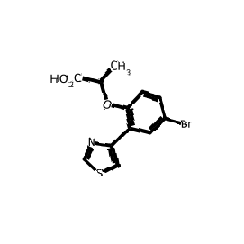 CC(Oc1ccc(Br)cc1-c1cscn1)C(=O)O